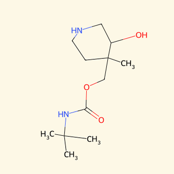 CC(C)(C)NC(=O)OCC1(C)CCNCC1O